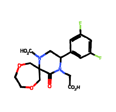 O=C(O)CN1C(=O)C2(COCCOC2)N(C(=O)O)CC1c1cc(F)cc(F)c1